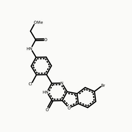 COCC(=O)Nc1ccc(-c2nc3c(oc4ccc(Br)cc43)c(=O)[nH]2)c(Cl)c1